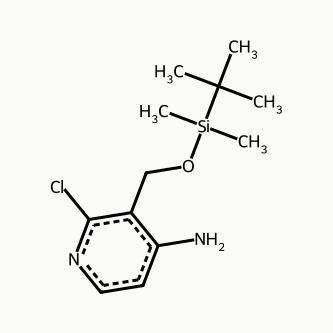 CC(C)(C)[Si](C)(C)OCc1c(N)ccnc1Cl